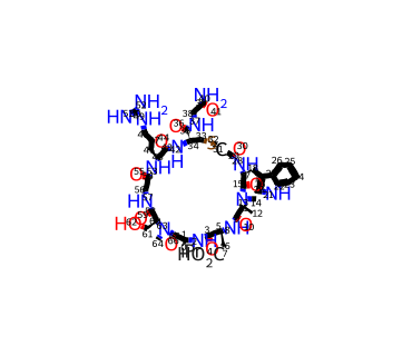 CC(C)[C@@H]1NC(=O)[C@H](CC(=O)O)NC(=O)[C@H](C)N(C)C(=O)[C@@H](Cc2c[nH]c3ccccc23)NC(=O)CSC[C@@H](C(=O)NCC(N)=O)NC(=O)[C@H](CCCNC(=N)N)NC(=O)CNC(=O)[C@H](CO)N(C)C1=O